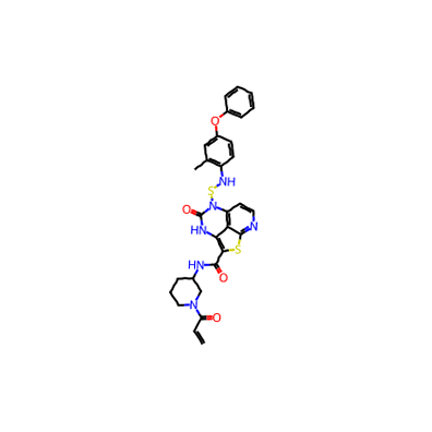 C=CC(=O)N1CCCC(NC(=O)c2sc3nccc4c3c2NC(=O)N4SNc2ccc(Oc3ccccc3)cc2C)C1